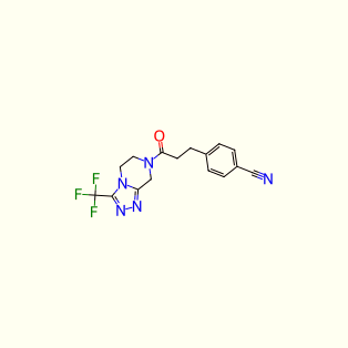 N#Cc1ccc(CCC(=O)N2CCn3c(nnc3C(F)(F)F)C2)cc1